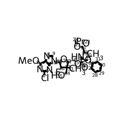 COc1nc(Cl)nc2c1ncn2[C@@H]1O[C@H](COP(=O)(N[C@@H](C)C(=O)OC(C)C)Oc2ccccc2)C(C)(CO)C1F